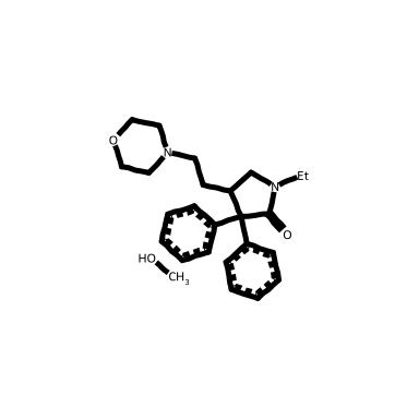 CCN1CC(CCN2CCOCC2)C(c2ccccc2)(c2ccccc2)C1=O.CO